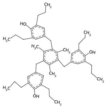 CCCc1cc(Cc2c(C)c(Cc3cc(CCC)c(O)c(CCC)c3)c(C)c(Cc3cc(CCC)c(O)c(CCC)c3)c2C)cc(CCC)c1O